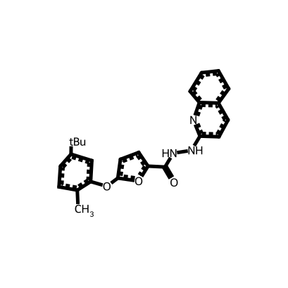 Cc1ccc(C(C)(C)C)cc1Oc1ccc(C(=O)NNc2ccc3ccccc3n2)o1